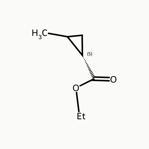 CCOC(=O)[C@H]1CC1C